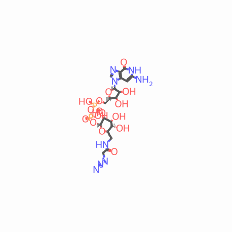 [N-]=[N+]=NCC(=O)NCC1O[C@H](OP(=O)(O)OP(=O)(O)OC[C@H]2O[C@@H](n3cnc4c(=O)[nH]c(N)cc43)C(O)C2O)C(O)C(O)[C@@H]1O